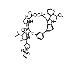 C=CS(=O)(=O)N1CC[C@H](C(=O)N(C)[C@H](C(=O)N[C@H]2Cc3cccc(c3)-c3ccc4c(c3)c(c(-c3cccnc3[C@H](C)OC)n4C)CC(C)(C)COC(=O)[C@@H]3CCCN(N3)C2=O)C(C)C)C1